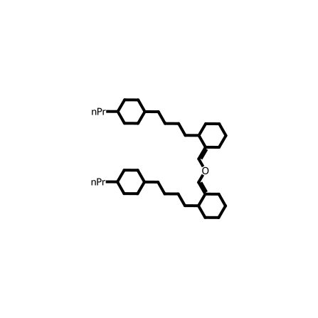 CCCC1CCC(CCCCC2CCCCC2=COC=C2CCCCC2CCCCC2CCC(CCC)CC2)CC1